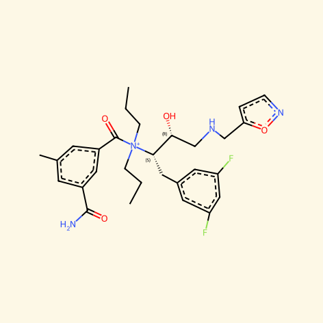 CCC[N+](CCC)(C(=O)c1cc(C)cc(C(N)=O)c1)[C@@H](Cc1cc(F)cc(F)c1)[C@H](O)CNCc1ccno1